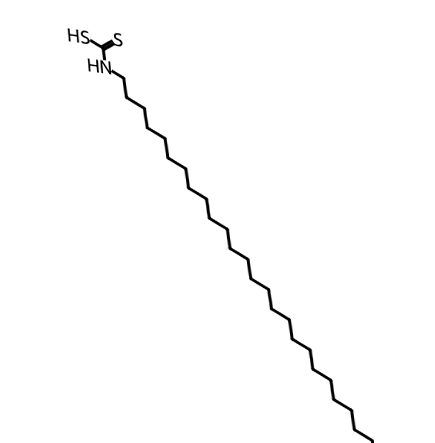 S=C(S)CCCCCCCCCCCCCCCCCCCCCCCCCNC(=S)S